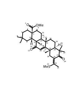 COC(=O)[C@]12CCC(C)(C)C[C@H]1[C@H]1C(=O)C=C3[C@@]4(C)C/C(=C(/C)SC)C(=O)C(C)(C)[C@@H]4CC[C@@]3(C)[C@]1(C)CC2